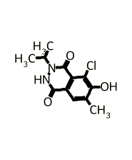 Cc1cc2c(=O)[nH]n(C(C)C)c(=O)c2c(Cl)c1O